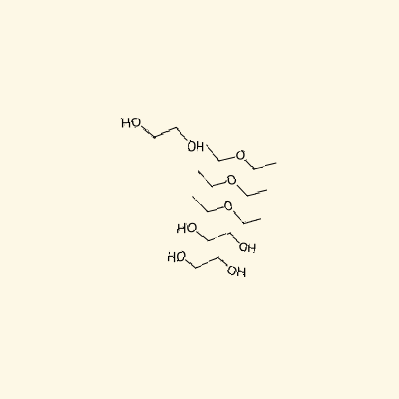 CCOCC.CCOCC.CCOCC.OCCO.OCCO.OCCO